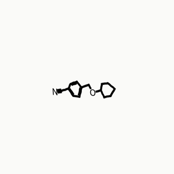 N#Cc1ccc(COC2CCCCC2)cc1